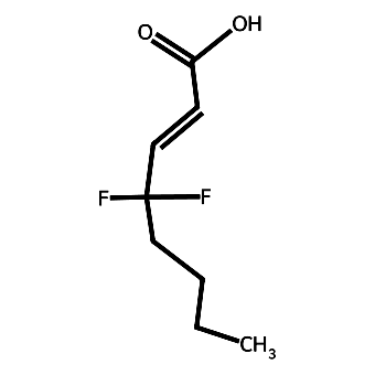 CCCCC(F)(F)C=CC(=O)O